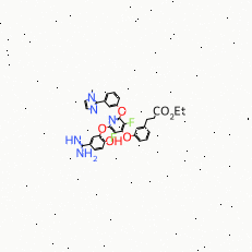 CCOC(=O)CCc1cccc(Oc2c(F)c(Oc3cccc(-c4nccn4C)c3)nc(Oc3cc(C(=N)N)ccc3O)c2F)c1